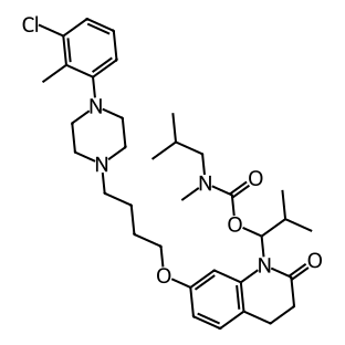 Cc1c(Cl)cccc1N1CCN(CCCCOc2ccc3c(c2)N(C(OC(=O)N(C)CC(C)C)C(C)C)C(=O)CC3)CC1